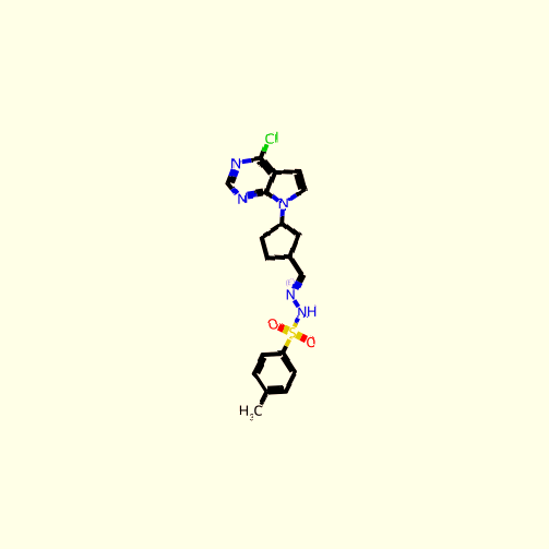 Cc1ccc(S(=O)(=O)N/N=C/C2CCC(n3ccc4c(Cl)ncnc43)C2)cc1